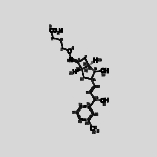 O=C(O)CCCON=C1C[C@H]2C(O)C(C=CC(O)c3cccc(C(F)(F)F)c3)C[C@H]12